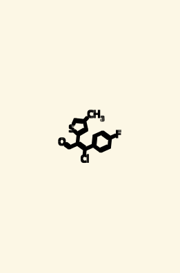 Cc1csc(C(C=O)=C(Cl)c2ccc(F)cc2)c1